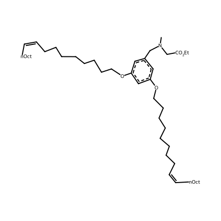 CCCCCCCC/C=C\CCCCCCCCOc1cc(CN(C)CC(=O)OCC)cc(OCCCCCCCC/C=C\CCCCCCCC)c1